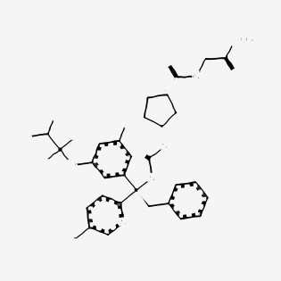 COC(=O)CNC(=O)[C@H]1CC[C@@H](NC(=O)N[C@@](Cc2ccccc2)(c2cc(F)cc(OC(F)(F)C(F)F)c2)c2ccc(I)cn2)C1